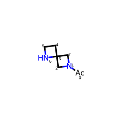 CC(=O)N1CC2(CCN2)C1